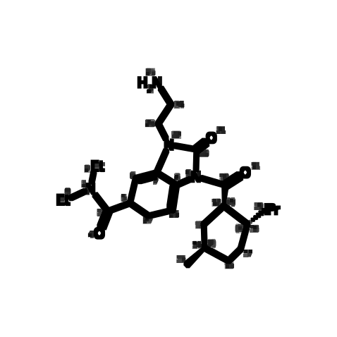 CCN(CC)C(=O)C1C=c2c(n(C(=O)[C@@H]3C[C@H](C)CC[C@H]3C(C)C)c(=O)n2CCN)=CC1